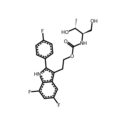 C[C@@H](O)[C@@H](CO)NC(=O)OCCc1c(-c2ccc(F)cc2)[nH]c2c(F)cc(F)cc12